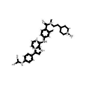 CC(=O)N1CCC(CCN(C)C(=O)c2ccc(Nc3nccn4c(-c5ccc(OC(F)F)cc5)cnc34)cc2C)CC1